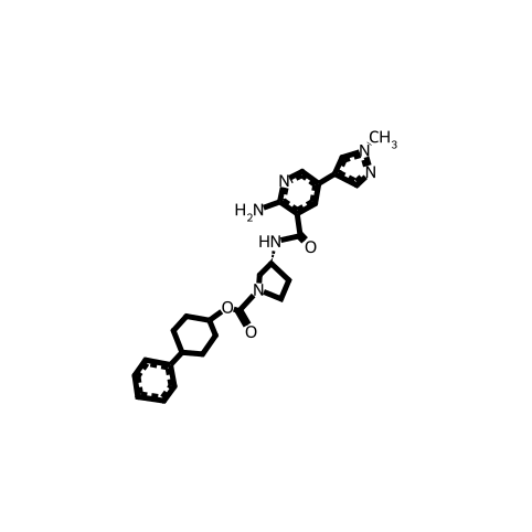 Cn1cc(-c2cnc(N)c(C(=O)N[C@@H]3CCN(C(=O)OC4CCC(c5ccccc5)CC4)C3)c2)cn1